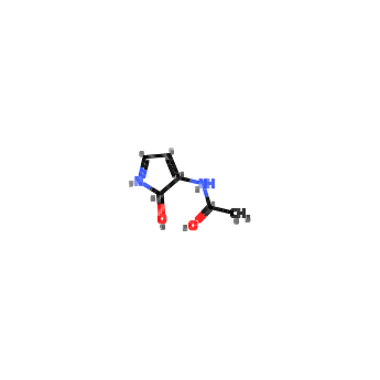 CC(=O)NC1=CC=NC1=O